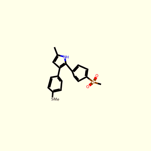 CSc1ccc(-c2cc(C)[nH]c2-c2ccc(S(C)(=O)=O)cc2)cc1